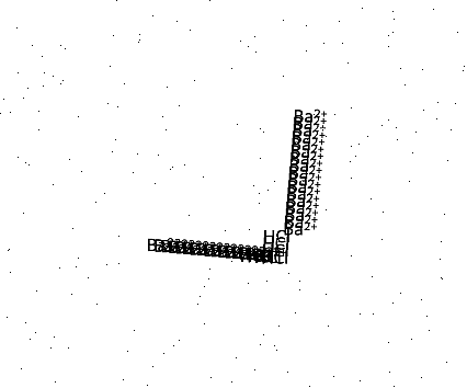 Cl.Cl.Cl.Cl.Cl.Cl.Cl.[Ba+2].[Ba+2].[Ba+2].[Ba+2].[Ba+2].[Ba+2].[Ba+2].[Ba+2].[Ba+2].[Ba+2].[Ba+2].[Ba+2].[Ba+2].[Ba+2].[Ba+2].[Ba+2].[Ba+2].[Ba+2].[Ba+2].[Ba+2].[Ba+2].[Ba+2].[Ba+2].[Ba+2].[Ba+2].[Ba+2].[Ba+2].[Ba+2].[Ba+2].[Ba+2].[Ba+2].[Ba+2].[Ba+2]